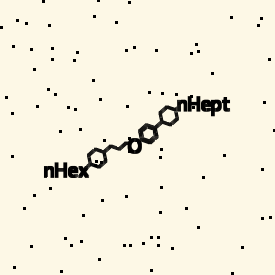 CCCCCCCC1CCC(c2ccc(OCCCC3CCC(CCCCCC)CC3)cc2)CC1